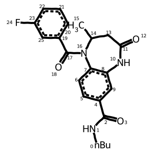 CCCCNC(=O)c1ccc2c(c1)NC(=O)CC(C)N2C(=O)c1cccc(F)c1